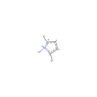 [CH2]c1ccc(C)n1C